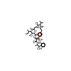 CCC(C)C(C(CC(=O)N1CCCC1C(OC)C(C)C(=O)NC(C)C(O)c1ccccc1)OC)N(C)C(=O)CNC(=O)C(C(C)C)N(C)CCc1ccc(NC)cc1